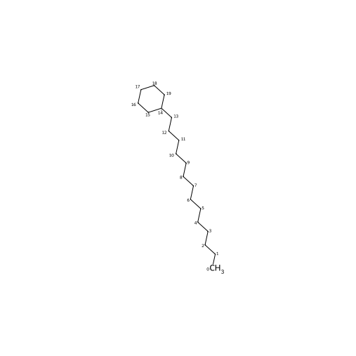 CCCCCCCCCCCCCC[C]1CCCCC1